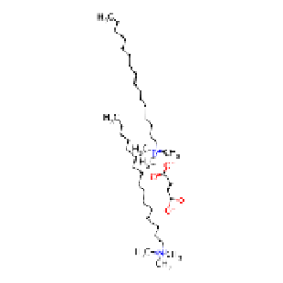 CCCCCCCCCCCCCCCC[N+](C)(C)C.CCCCCCCCCCCCCCCC[N+](C)(C)C.O=C([O-])/C=C/C(=O)[O-]